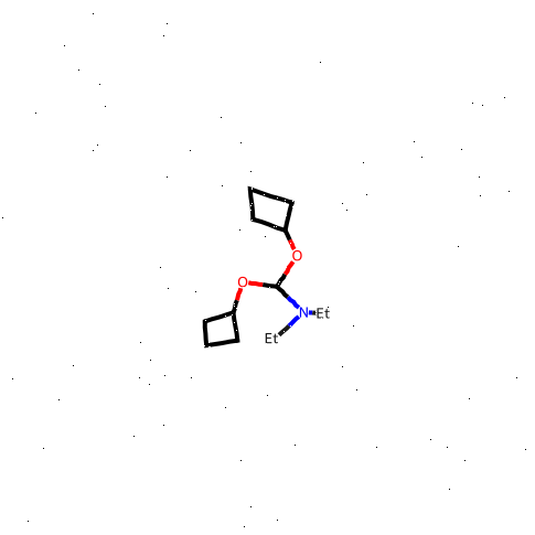 CCN(CC)C(OC1CCC1)OC1CCC1